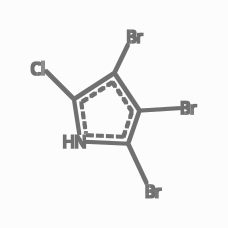 Clc1[nH]c(Br)c(Br)c1Br